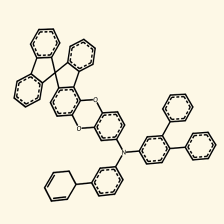 C1=CCC(c2cccc(N(c3ccc4c(c3)Oc3ccc5c(c3O4)-c3ccccc3C53c4ccccc4-c4ccccc43)c3ccc(-c4ccccc4)c(-c4ccccc4)c3)c2)C=C1